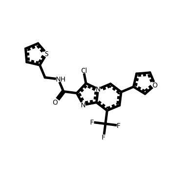 O=C(NCc1cccs1)c1nc2c(C(F)(F)F)cc(-c3ccoc3)cn2c1Cl